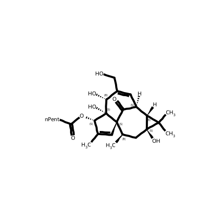 CCCCCC(=O)O[C@H]1C(C)=C[C@]23C(=O)[C@@H](C=C(CO)[C@@H](O)[C@]12O)[C@@H]1C(C)(C)[C@]1(O)C[C@H]3C